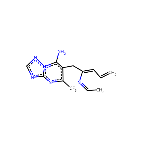 C=C/C=C(Cc1c(C(F)(F)F)nc2ncnn2c1N)\N=C/C